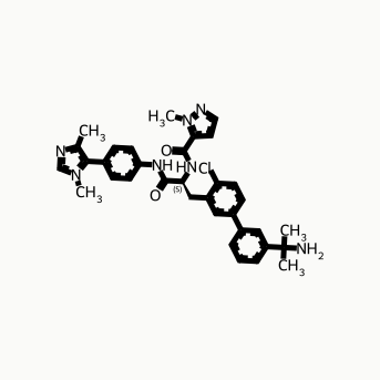 Cc1ncn(C)c1-c1ccc(NC(=O)[C@H](Cc2cc(-c3cccc(C(C)(C)N)c3)ccc2Cl)NC(=O)c2ccnn2C)cc1